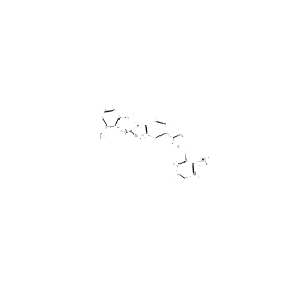 O=C(NCc1ncccc1C(F)(F)F)c1ccc2[nH]c(Nc3c(Cl)cccc3Cl)nc2c1